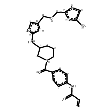 C=CC(=O)Nc1ccc(C(=O)N2CCCC(Nc3ncc(COCc4ncc(C(C)(C)C)o4)s3)C2)cc1